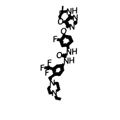 CCN1CCN(Cc2ccc(NC(=O)Nc3ccc(Oc4ncnc5c4OC[C@@H](C)N5)c(F)c3)cc2C(F)(F)F)CC1